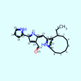 CCC1CCCCCCc2cc1c(/C=C1/N=C(c3ccc[nH]3)C=C1C=O)[nH]2